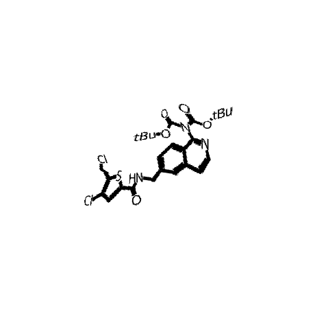 CC(C)(C)OC(=O)N(C(=O)OC(C)(C)C)c1nccc2cc(CNC(=O)c3cc(Cl)c(CCl)s3)ccc12